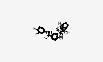 O=C(Nc1ccc(F)c(F)c1)c1ccc(Cl)c(S(=O)(=O)[C@@H]2C[C@H]3CC[C@@H](C2)[C@@]3(O)[C@H](O)CO)c1